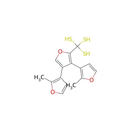 Cc1occc1-c1coc(C(S)(S)S)c1-c1ccoc1C